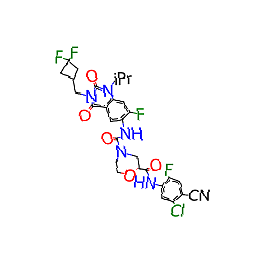 CC(C)n1c(=O)n(CC2CC(F)(F)C2)c(=O)c2cc(NC(=O)N3CCOC(C(=O)Nc4cc(Cl)c(C#N)cc4F)C3)c(F)cc21